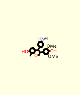 CCNc1ccc(C2c3ccc(O)c(C)c3OCC2c2cc(OC)c(O)c(OC)c2)cc1